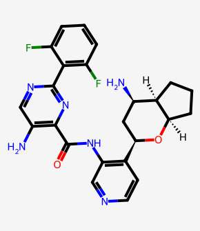 Nc1cnc(-c2c(F)cccc2F)nc1C(=O)Nc1cnccc1[C@H]1C[C@@H](N)[C@H]2CCC[C@H]2O1